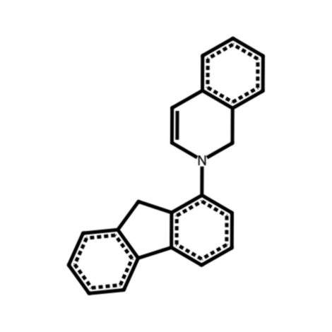 C1=CN(c2cccc3c2Cc2ccccc2-3)Cc2ccccc21